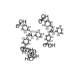 CS(=O)(=O)O.Cl.O=C(O)c1ccc(CN(Cc2ccccc2)Cc2ccc(C(=O)O)cc2)cc1.O=C(O)c1ccc(CN(Cc2ccccc2)Cc2ccc(C(=O)O)cc2)cc1